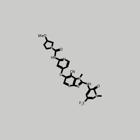 COC1CCN(C(=O)Nc2cc(Oc3cnc4nc(Nc5cc(C(F)(F)F)cn(C)c5=O)n(C)c4c3C#N)ccn2)C1